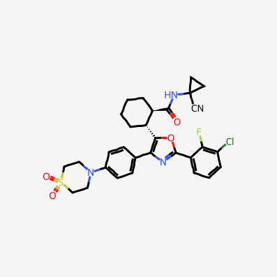 N#CC1(NC(=O)[C@@H]2CCCC[C@H]2c2oc(-c3cccc(Cl)c3F)nc2-c2ccc(N3CCS(=O)(=O)CC3)cc2)CC1